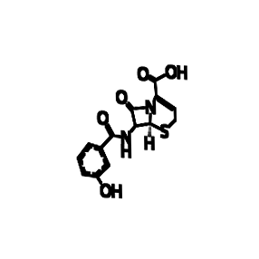 O=C(O)C1=CCS[C@H]2C(NC(=O)c3cccc(O)c3)C(=O)N12